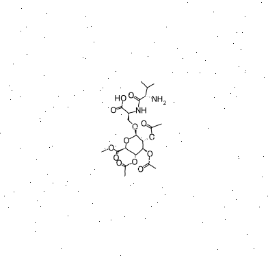 COC(=O)[C@H]1O[C@@H](OC[C@H](NC(=O)[C@@H](N)C(C)C)C(=O)O)[C@H](OC(C)=O)[C@@H](OC(C)=O)[C@@H]1OC(C)=O